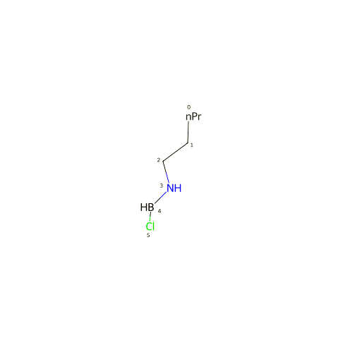 CCCCCNBCl